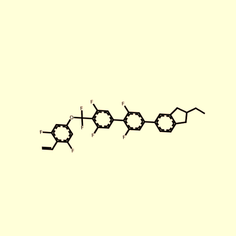 C=Cc1c(F)cc(OC(F)(F)c2c(F)cc(-c3c(F)cc(-c4ccc5c(c4)CC(CC)C5)cc3F)cc2F)cc1F